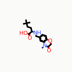 CN1C(=O)COc2ccc(CNC(CCC(C)(C)C)C(=O)O)cc21